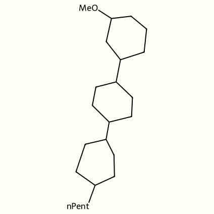 CCCCCC1CCC(C2CCC(C3CCCC(OC)C3)CC2)CC1